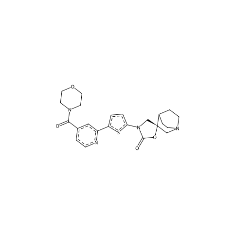 O=C(c1ccnc(-c2ccc(N3C[C@@]4(CN5CCC4CC5)OC3=O)s2)c1)N1CCOCC1